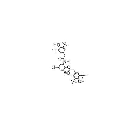 CC(C)(C)c1cc(CC(=O)Nc2cc(Cl)cc(Br)c2OC(=O)Cc2cc(C(C)(C)C)c(O)c(C(C)(C)C)c2)cc(C(C)(C)C)c1O